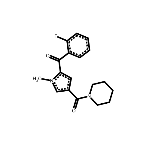 Cn1cc(C(=O)N2CCCCC2)cc1C(=O)c1ccccc1F